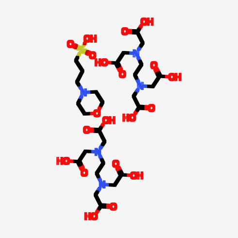 O=C(O)CN(CCN(CC(=O)O)CC(=O)O)CC(=O)O.O=C(O)CN(CCN(CC(=O)O)CC(=O)O)CC(=O)O.O=S(=O)(O)CCCN1CCOCC1